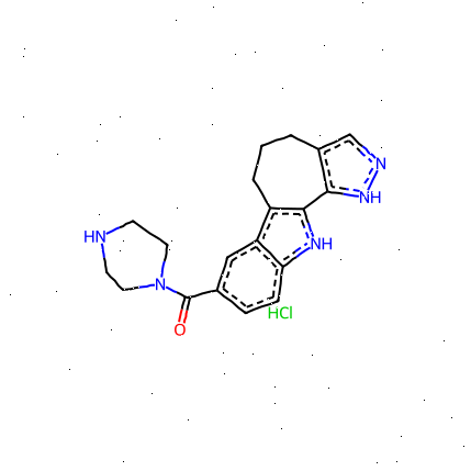 Cl.O=C(c1ccc2[nH]c3c(c2c1)CCCc1cn[nH]c1-3)N1CCNCC1